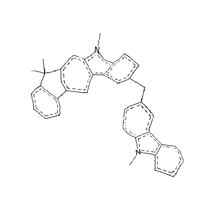 Cn1c2ccccc2c2cc(Cc3ccc4c(c3)c3cc5c(cc3n4C)C(C)(C)c3ccccc3-5)ccc21